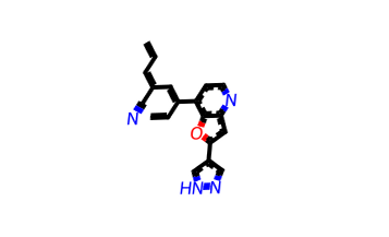 C=C/C=C(C#N)\C=C(/C=C)c1ccnc2cc(-c3cn[nH]c3)oc12